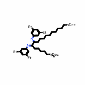 CCCCCCCCCCCCC/C=C/C(=N\c1cc(CC)cc(CC)c1)C(/CCCCCCCCCCCCCCCCCCCC)=N/c1cc(CC)cc(CC)c1.[Ni]